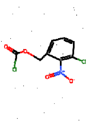 O=C(Cl)OCc1cccc(Cl)c1[N+](=O)[O-]